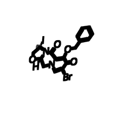 O=C1c2c(OCc3ccccc3)c(=O)c(Br)cn2C[C@H]2OC[C@H](I)N12